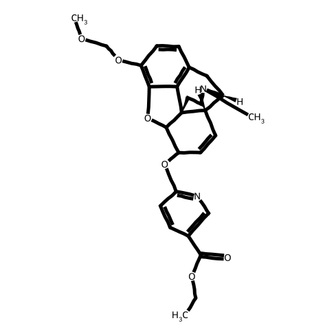 CCOC(=O)c1ccc(OC2C=C[C@H]3[C@H]4Cc5ccc(OCOC)c6c5[C@@]3(CCN4C)C2O6)nc1